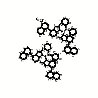 CC1=Cc2c(-c3cccc4ccccc34)cccc2[CH]1[Hf]([CH]1C(C)=Cc2c(-c3cccc4ccccc34)cccc21)=[Si](c1ccccc1)c1ccccc1.CC1=Cc2c(-c3cccc4ccccc34)cccc2[CH]1[Hf]([CH]1C(C)=Cc2c(-c3cccc4ccccc34)cccc21)=[Si](c1ccccc1)c1ccccc1.[Cl-].[Cl-]